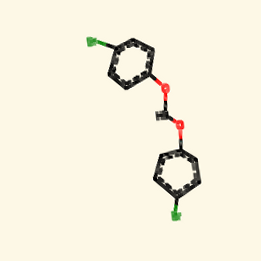 Brc1ccc(OBOc2ccc(Br)cc2)cc1